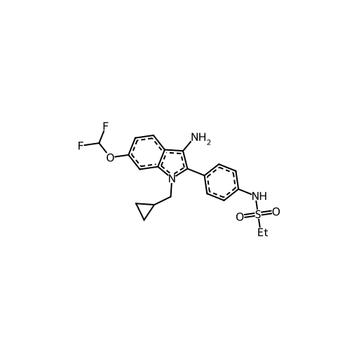 CCS(=O)(=O)Nc1ccc(-c2c(N)c3ccc(OC(F)F)cc3n2CC2CC2)cc1